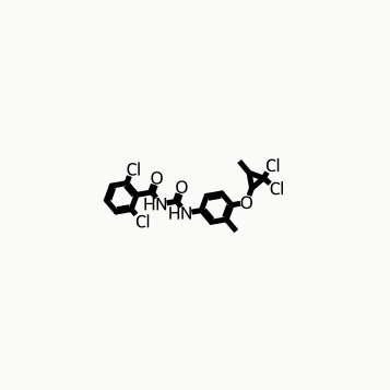 Cc1cc(NC(=O)NC(=O)c2c(Cl)cccc2Cl)ccc1OC1C(C)C1(Cl)Cl